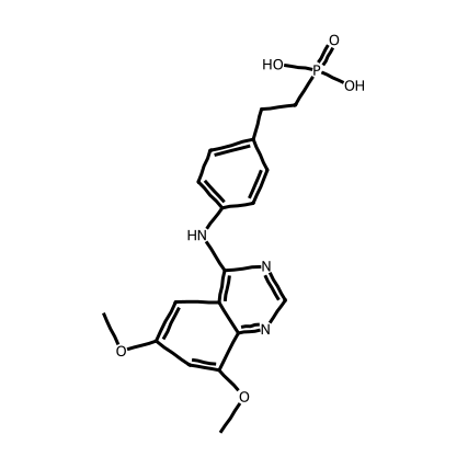 COc1cc(OC)c2ncnc(Nc3ccc(CCP(=O)(O)O)cc3)c2c1